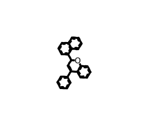 C1=C(c2ccccc2)c2ccccc2OC1c1cccc2ccccc12